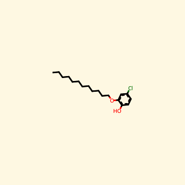 CCCCCCCCCCCCOc1cc(Cl)ccc1O